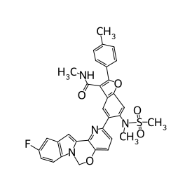 CNC(=O)c1c(-c2ccc(C)cc2)oc2cc(N(C)S(C)(=O)=O)c(-c3ccc4c(n3)-c3cc5cc(F)ccc5n3CO4)cc12